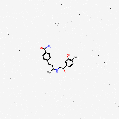 CC(=O)Oc1ccc(C(O)CNC(C)CCc2ccc(C(N)=O)cc2)cc1O